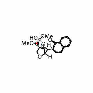 COC[C@@]12CO[C@@H]([C@H](n3ccc4ccccc4c3=O)O1)[C@@H]2OP(=O)(O)OC